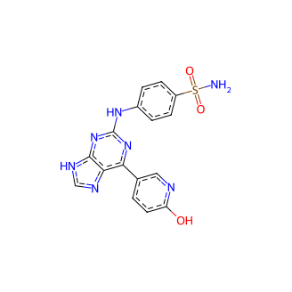 NS(=O)(=O)c1ccc(Nc2nc(-c3ccc(O)nc3)c3nc[nH]c3n2)cc1